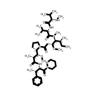 CC[C@H](C)[C@@H]([C@@H](CC(=O)N1CCC[C@H]1[C@H](OC)[C@@H](C)C(=O)N[C@H](C(=O)N1CCCCO1)[C@@H](C)c1ccccc1)OC)N(C)C(=O)[C@@H](NC(=O)[C@@H](NC)C(C)C)C(C)C